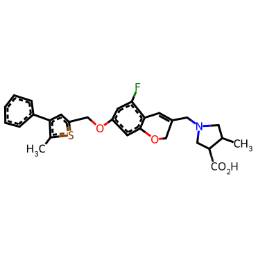 Cc1sc(COc2cc(F)c3c(c2)OCC(CN2CC(C)C(C(=O)O)C2)=C3)cc1-c1ccccc1